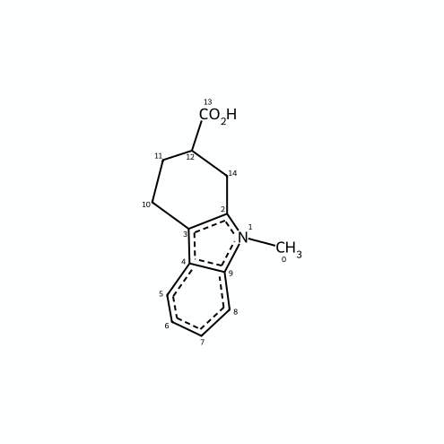 Cn1c2c(c3ccccc31)CCC(C(=O)O)C2